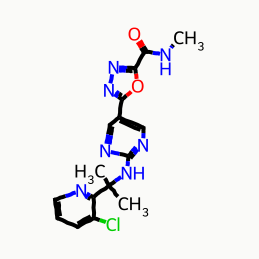 CNC(=O)c1nnc(-c2cnc(NC(C)(C)c3ncccc3Cl)nc2)o1